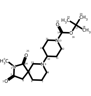 CN1C(=O)CC2(CCCN(C3CCN(C(=O)OC(C)(C)C)CC3)C2)C1=O